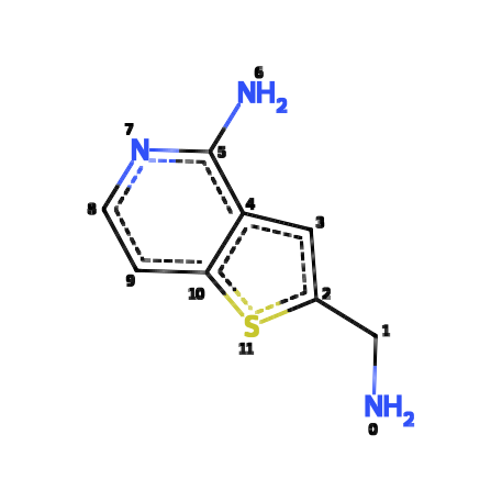 NCc1cc2c(N)nccc2s1